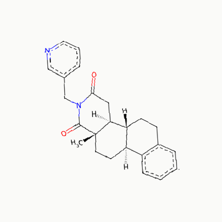 C[C@]12CC[C@@H]3c4cc[c]cc4CC[C@H]3[C@@H]1CC(=O)N(Cc1cccnc1)C2=O